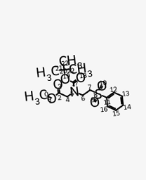 COC(=O)CN(CCS(=O)(=O)c1ccccc1)C(=O)OC(C)(C)C